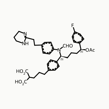 CC(=O)O[C@@H](CCC[C@@H](c1ccc(CCCC(C(=O)O)C(=O)O)cc1)N(C=O)c1ccc(CCC2=NCCCN2)cc1)c1ccc(F)cc1